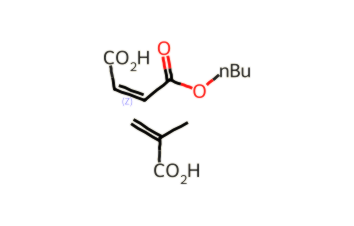 C=C(C)C(=O)O.CCCCOC(=O)/C=C\C(=O)O